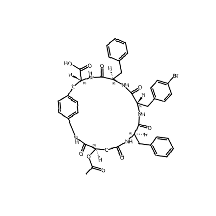 CC(=O)O[C@@H]1CC(=O)N[C@H](Cc2ccccc2)C(=O)N[C@@H](Cc2ccc(Br)cc2)C(=O)N[C@H](Cc2ccccc2)C(=O)N[C@@H](C(=O)O)Cc2ccc(cc2)NC1=O